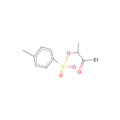 CCC(=O)C(C)OS(=O)(=O)c1ccc(C)cc1